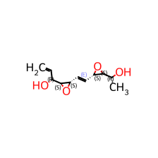 C=C[C@@H](O)[C@@H]1O[C@H]1/C=C/[C@@H]1O[C@H]1[C@@H](C)O